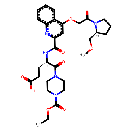 CCOC(=O)N1CCN(C(=O)[C@H](CCC(=O)O)NC(=O)c2cc(OCC(=O)N3CCC[C@H]3COC)c3ccccc3n2)CC1